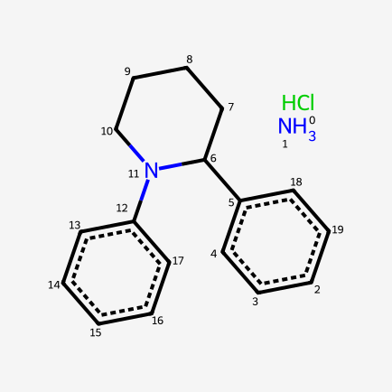 Cl.N.c1ccc(C2CCCCN2c2ccccc2)cc1